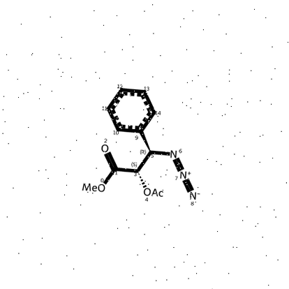 COC(=O)[C@@H](OC(C)=O)[C@H](N=[N+]=[N-])c1ccccc1